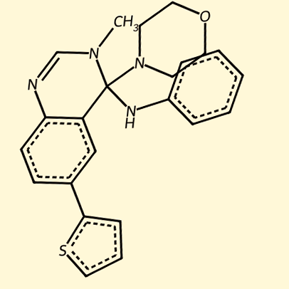 CN1C=Nc2ccc(-c3cccs3)cc2C1(Nc1ccccc1)N1CCOCC1